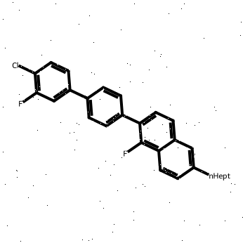 CCCCCCCc1ccc2c(F)c(-c3ccc(-c4ccc(Cl)c(F)c4)cc3)ccc2c1